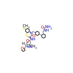 CSc1ccc2c(c1)SC[C@@H](NC(=O)CC(C)(C)NCc1ccco1)C(=O)N2Cc1ccc(-c2ccccc2CNC(N)=O)cc1